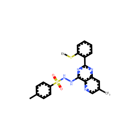 CCSc1ccccc1-c1nc(NNS(=O)(=O)c2ccc(C)cc2)c2ncc(C(F)(F)F)cc2n1